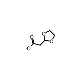 [O]C(=O)CC1OCCO1